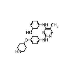 Cc1cnc(Nc2ccc(OC3CCNCC3)cc2)nc1Nc1cccc(O)c1